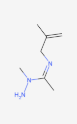 C=C(C)C/N=C(/C)N(C)N